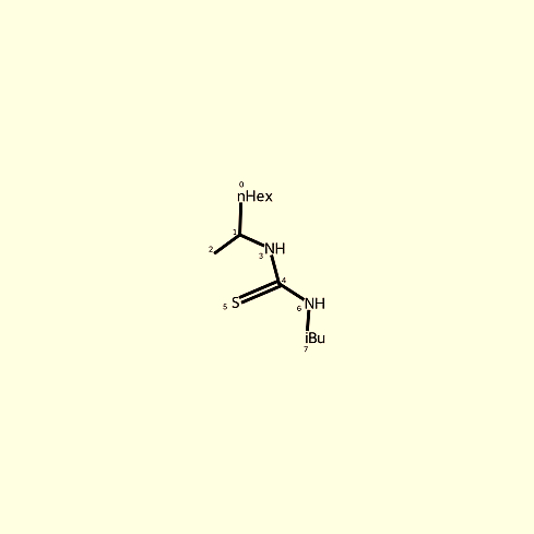 CCCCCCC(C)NC(=S)NC(C)CC